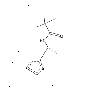 C[C@@H](NC(=O)C(C)(C)C)c1cccs1